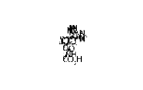 O=C(O)CNC(=O)OCCc1c(-c2ccccc2)n2nnnc2n2ncnc12